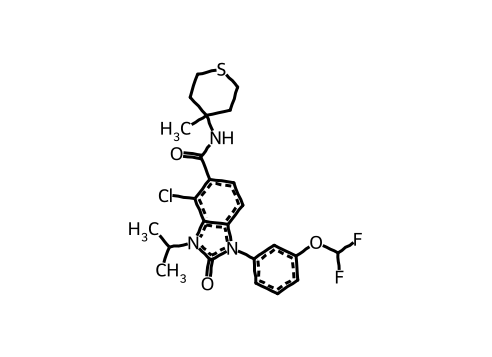 CC(C)n1c(=O)n(-c2cccc(OC(F)F)c2)c2ccc(C(=O)NC3(C)CCSCC3)c(Cl)c21